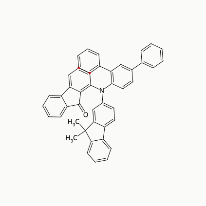 CC1(C)c2ccccc2-c2ccc(N(c3ccc(-c4ccccc4)cc3-c3ccccc3)c3cccc4c3C(=O)c3ccccc3-4)cc21